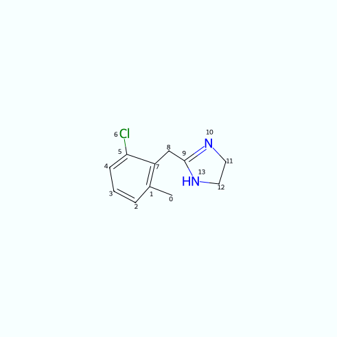 Cc1cccc(Cl)c1CC1=NCCN1